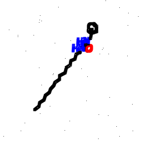 CCCCCCCCCCCCCCCCCCNC(=O)NCc1ccccc1